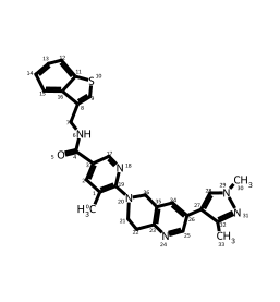 Cc1cc(C(=O)NCc2csc3ccccc23)cnc1N1CCc2ncc(-c3cn(C)nc3C)cc2C1